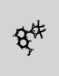 COc1ccc2nccc(B3OC(C)(C)C(C)(C)O3)c2c1